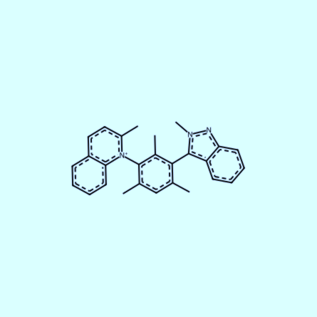 Cc1cc(C)c(-[n+]2c(C)ccc3ccccc32)c(C)c1-c1c2ccccc2nn1C